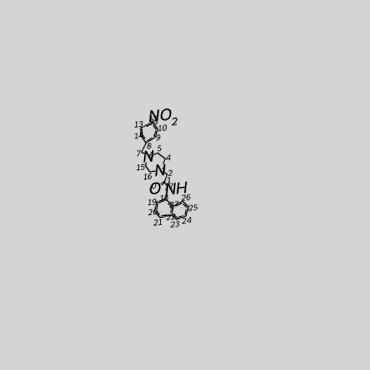 O=C(CN1CCN(Cc2ccc([N+](=O)[O-])cc2)CC1)Nc1cccc2ccccc12